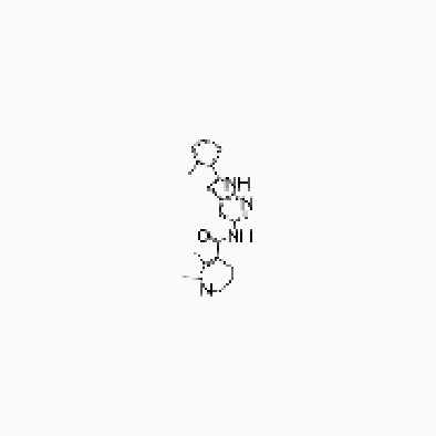 CC1=NCCCC(C(=O)Nc2cnc3[nH]c(-c4ccccc4C)cc3c2)=C1C